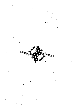 CCCCNc1nc(Nc2ccc(-c3ccc(Nc4nc(NCCCC)nc(SCCO)n4)c4c3C(=O)c3ccccc3C4=O)c3c2C(=O)c2ccccc2C3=O)nc(SCCO)n1